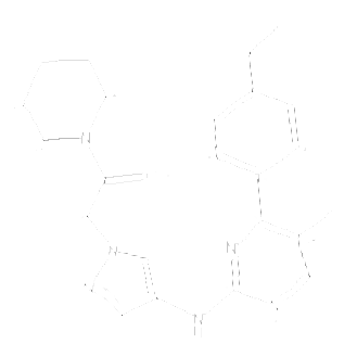 CCc1ccc(-c2nc(Nc3cnn(CC(=O)N4CCCCC4)c3)ncc2C)cc1